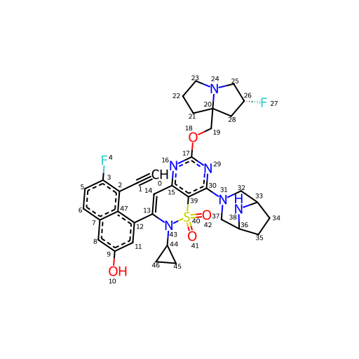 C#Cc1c(F)ccc2cc(O)cc(C3=Cc4nc(OCC56CCCN5C[C@H](F)C6)nc(N5CC6CCC(C5)N6)c4S(=O)(=O)N3C3CC3)c12